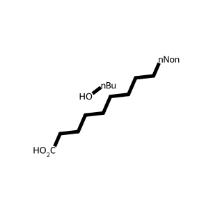 CCCCCCCCCCCCCCCCCC(=O)O.[CH2]CCCO